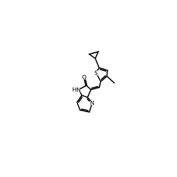 Cc1cc(C2CC2)sc1C=C1C(=O)Nc2cccnc21